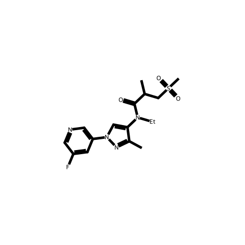 CCN(C(=O)C(C)CS(C)(=O)=O)c1cn(-c2cncc(F)c2)nc1C